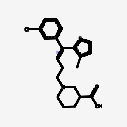 Cc1ccsc1/C(=C\CCN1CCCC(C(=O)O)C1)c1cccc(Cl)c1